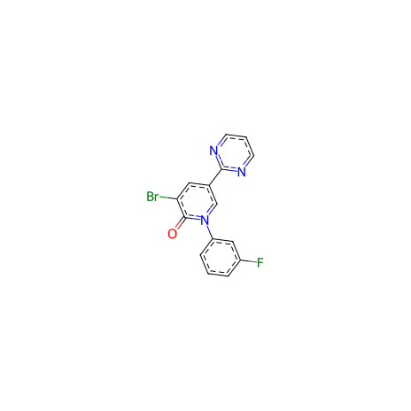 O=c1c(Br)cc(-c2ncccn2)cn1-c1cccc(F)c1